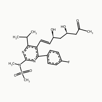 CC(=O)C[C@H](O)C[C@H](O)/C=C/c1c(-c2ccc(F)cc2)nc(N(C)S(C)(=O)=O)nc1C(C)C